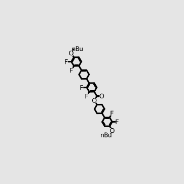 CCCCOc1ccc(C2=CCC(OC(=O)c3ccc(C4CC=C(c5ccc(OCCCC)c(F)c5F)CC4)c(F)c3F)CC2)c(F)c1F